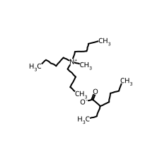 CCCCC(CC)C(=O)[O-].CCCC[N+](C)(CCCC)CCCC